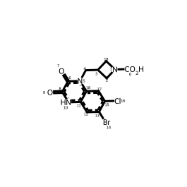 O=C(O)N1CC(Cn2c(=O)c(=O)[nH]c3cc(Br)c(Cl)cc32)C1